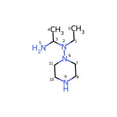 CCN(C(C)N)N1CCNCC1